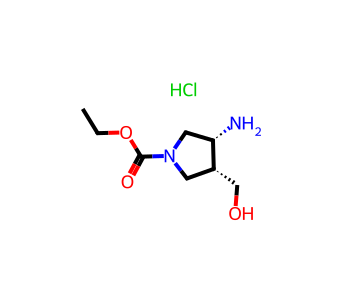 CCOC(=O)N1C[C@@H](CO)[C@@H](N)C1.Cl